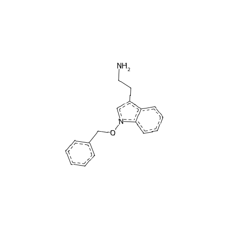 NCCc1cn(OCc2ccccc2)c2ccccc12